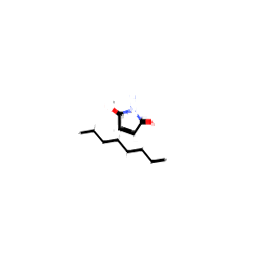 CCCCCCCC.O=C1C=CC(=O)N1